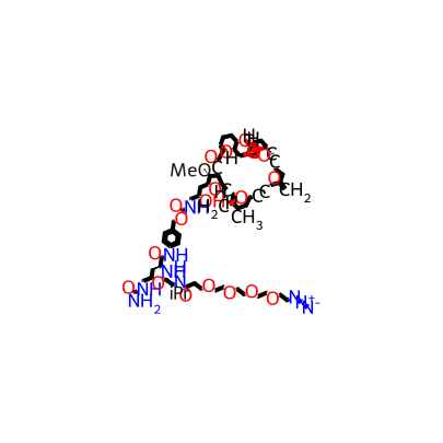 C=C1CC2CC[C@]34C[C@H]5OC6(O3)C3C(O4)[C@H]4OC(CCC4O[C@H]3C56)CC(=O)CC3[C@@H](OC)C(CC(O)CNC(=O)OCc4ccc(NC(=O)[C@H](CCCNC(N)=O)NC(=O)[C@@H](NC(=O)CCOCCOCCOCCOCCN=[N+]=[N-])C(C)C)cc4)O[C@H]3C[C@H]3OC(CCC1O2)C[C@@H](C)C3=C